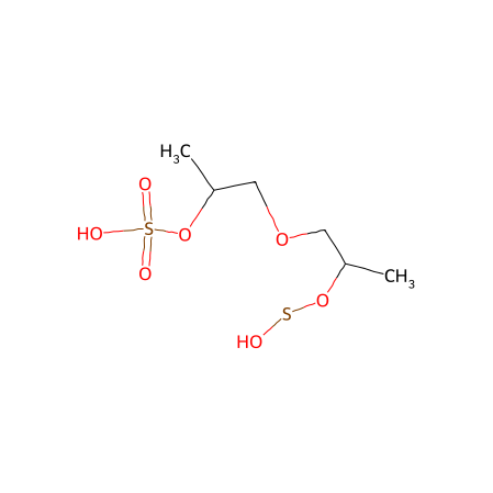 CC(COCC(C)OS(=O)(=O)O)OSO